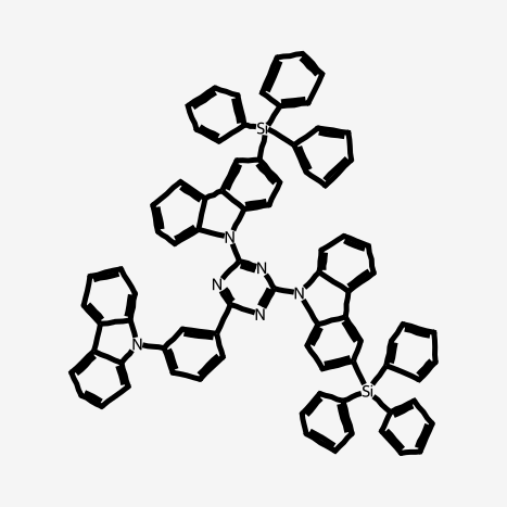 c1ccc([Si](c2ccccc2)(c2ccccc2)c2ccc3c(c2)c2ccccc2n3-c2nc(-c3cccc(-n4c5ccccc5c5ccccc54)c3)nc(-n3c4ccccc4c4cc([Si](c5ccccc5)(c5ccccc5)c5ccccc5)ccc43)n2)cc1